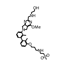 COc1nc(CNCCO)nc2c1CN(c1cccc(-c3cccc(OCCCNCCS(C)(=O)=O)c3C)c1C)C2